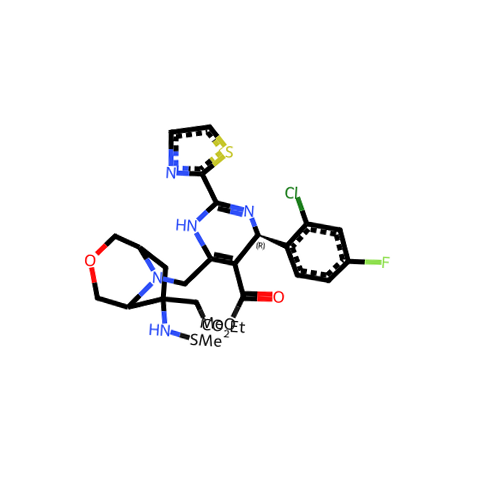 CCOC(=O)CC1(NSC)CC2COCC1N2CC1=C(C(=O)OC)[C@H](c2ccc(F)cc2Cl)N=C(c2nccs2)N1